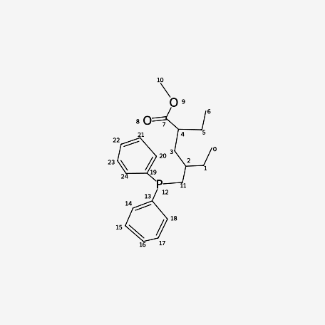 CCC(CC(CC)C(=O)OC)CP(c1ccccc1)c1ccccc1